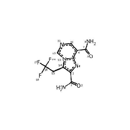 NC(=O)c1nc2c(C(N)=O)cncn2c1CC(F)(F)F